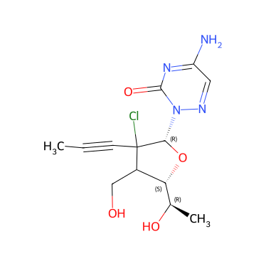 CC#CC1(Cl)C(CO)[C@@H]([C@@H](C)O)O[C@H]1n1ncc(N)nc1=O